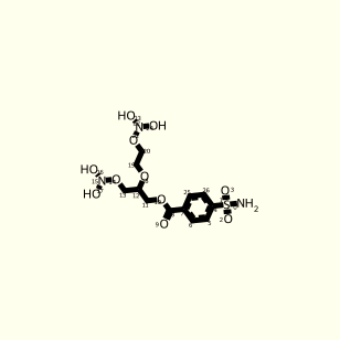 NS(=O)(=O)c1ccc(C(=O)OCC(CON(O)O)OCCON(O)O)cc1